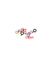 COC(=O)c1c(OC[C@H]2C[C@H](OCc3ccccc3)CN2C(=O)O)cc(C)c(F)c1O[C@H](C)C=O